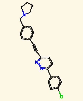 Clc1ccc(-c2ccc(C#Cc3ccc(CN4CCCC4)cc3)nn2)cc1